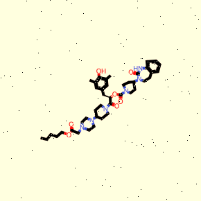 CCCCCOC(=O)CN1CCN(C2CCN(C(=O)[C@@H](Cc3cc(C)c(O)c(C)c3)OC(=O)N3CCC(N4CCc5ccccc5NC4=O)CC3)CC2)CC1